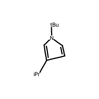 CC(C)c1ccn(C(C)(C)C)c1